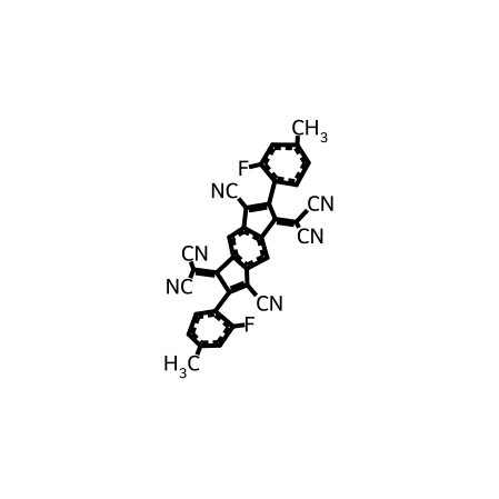 Cc1ccc(C2=C(C#N)c3cc4c(cc3C2=C(C#N)C#N)C(C#N)=C(c2ccc(C)cc2F)C4=C(C#N)C#N)c(F)c1